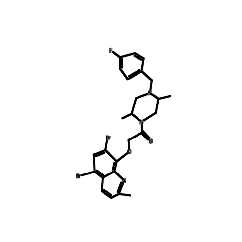 Cc1ccc2c(Br)cc(Br)c(OCC(=O)N3CC(C)N(Cc4ccc(F)cc4)CC3C)c2n1